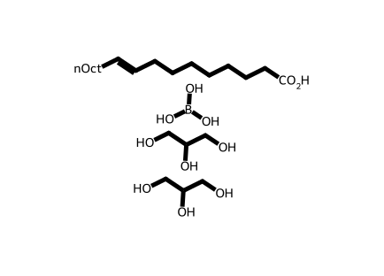 CCCCCCCCC=CCCCCCCCC(=O)O.OB(O)O.OCC(O)CO.OCC(O)CO